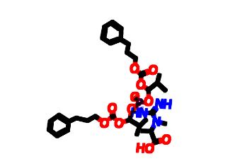 CC(C)C(OC(=O)OCCCc1ccccc1)OP(=O)(NC(=N)N(C)C(C)C(=O)O)OC(OC(=O)OCCCc1ccccc1)C(C)C